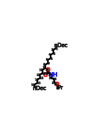 CCCCCCCCCCCCCCCCCCC(CCCCCCCCCCCCCCCCC)OC(=O)NCCCOC(C)C